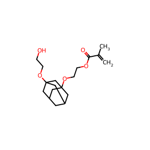 C=C(C)C(=O)OCCOC12CC3CC(CC(OCCO)(C3)C1)C2